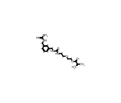 C=C(C)C(=O)OCCOCCNC(=O)NCc1cccc(CNC(=N)N)c1